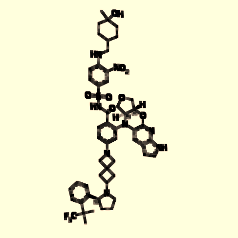 CC1(O)CCC(CNc2ccc(S(=O)(=O)NC(=O)c3ccc(N4CC5(CC(N6CCC[C@H]6c6ccccc6C(C)(C)C(F)(F)F)C5)C4)cc3N3c4cc5cc[nH]c5nc4O[C@H]4COC[C@@H]43)cc2[N+](=O)[O-])CC1